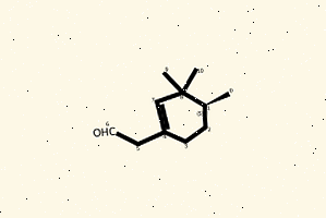 C[C@H]1CCC(CC=O)=CC1(C)C